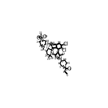 C=CC(=O)N1CCC(n2nc(N3CC[C@@H](CN4CCN(S(C)(=O)=O)CC4)CC3(C)C)c(-c3c(Cl)c(Cl)cc4[nH]ncc34)c2C)CC1